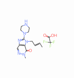 C/C=C/Cn1c(N2CCNCC2)nc2cnn(C)c(=O)c21.O=C(O)C(F)(F)F